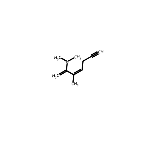 C#CC/C=C(/C)C(=C)N(C)C